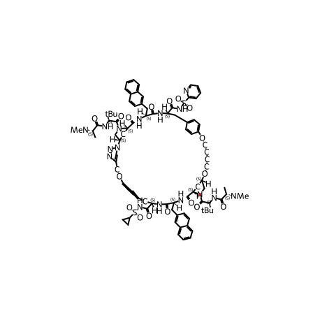 CN[C@@H](C)C(=O)N[C@H](C(=O)N1C[C@@H]2C[C@H]1C(=O)N[C@@H](Cc1ccc3ccccc3c1)C(=O)N[C@H](C(=O)NS(=O)(=O)c1ccccn1)Cc1ccc(cc1)OCCCCO[C@H]1C[C@@H](C(=O)N[C@@H](Cc3ccc4ccccc4c3)C(=O)N[C@H](C(=O)NS(=O)(=O)C3CC3)Cc3ccc(cc3)OCc3cn2nn3)N(C(=O)[C@@H](NC(=O)[C@H](C)NC)C(C)(C)C)C1)C(C)(C)C